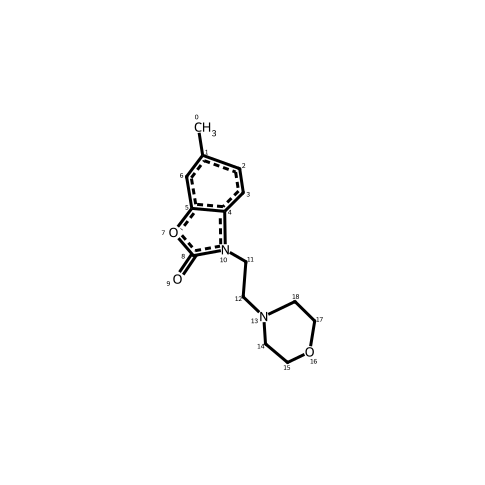 Cc1ccc2c(c1)oc(=O)n2CCN1CCOCC1